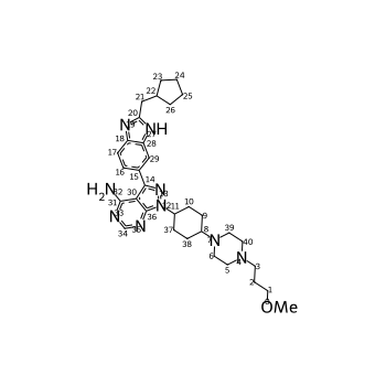 COCCCN1CCN(C2CCC(n3nc(-c4ccc5nc(CC6CCCC6)[nH]c5c4)c4c(N)ncnc43)CC2)CC1